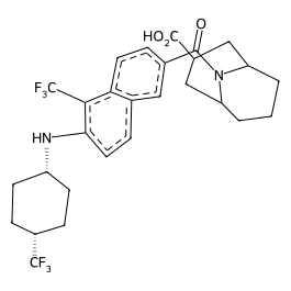 O=C(O)C1CC2CCCC(C1)N2C(=O)c1ccc2c(C(F)(F)F)c(N[C@H]3CC[C@@H](C(F)(F)F)CC3)ccc2c1